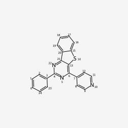 c1ccc(-c2nc(-c3ccncc3)c3sc4ccccc4c3n2)cc1